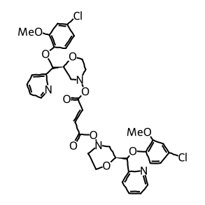 COc1cc(Cl)ccc1OC(c1ccccn1)[C@@H]1CN(OC(=O)/C=C/C(=O)ON2CCO[C@H](C(Oc3ccc(Cl)cc3OC)c3ccccn3)C2)CCO1